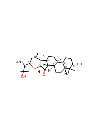 CC(=O)O[C@@H]([C@H]1C[C@@H](C)C2[C@H](O1)C(=O)[C@@]1(C)[C@@H]3CC[C@H]4C(C)(C)[C@@H](O)CC[C@]4(C)[C@]3(C)CC[C@]21C)C(C)(C)O